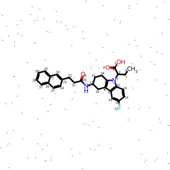 CCC(C(=O)O)n1c2c(c3cc(F)ccc31)CC(NC(=O)CCc1ccc3ccccc3c1)CC2